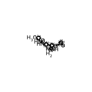 Cc1cccc(NC(=O)Nc2ccc(-c3ccc(OCCN4CCCC4=O)c4[nH]nc(N)c34)cc2)c1